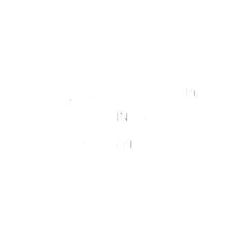 CC(NCCCBr)c1ccccc1